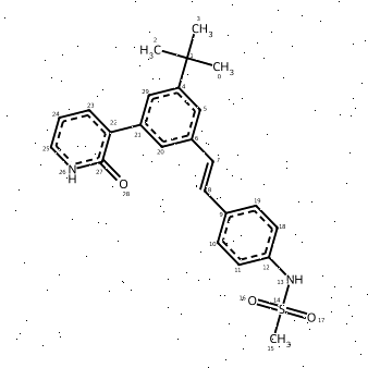 CC(C)(C)c1cc(C=Cc2ccc(NS(C)(=O)=O)cc2)cc(-c2ccc[nH]c2=O)c1